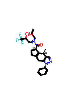 CCCN(CC(O)C(F)(F)F)C(=O)[C@@H]1CCC2=C1[C@@H](C)c1cnn(-c3ccccc3)c1C2